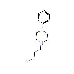 BrCCCN1CCN(c2ccccc2)CC1